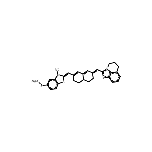 CCN1/C(=C/C2=CC3=C/C(=C/c4sc5cccc6c5[n+]4CCC6)CCC3CC2)Sc2ccc(SOC)cc21